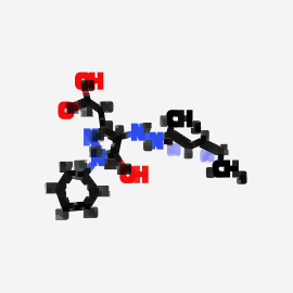 C/C=C\C=C(/C)N=Nc1c(CC(=O)O)nn(-c2ccccc2)c1O